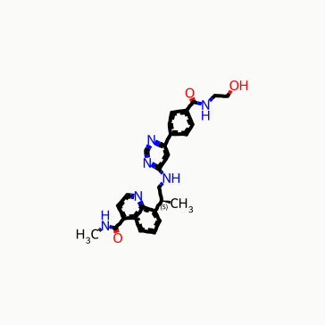 CNC(=O)c1ccnc2c([C@H](C)CNc3cc(-c4ccc(C(=O)NCCO)cc4)ncn3)cccc12